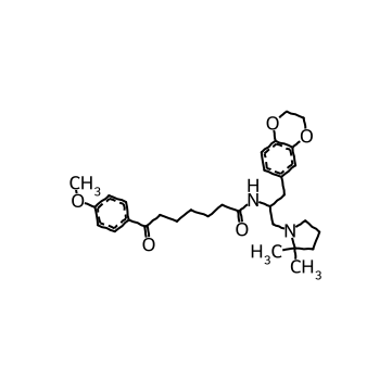 COc1ccc(C(=O)CCCCCC(=O)NC(Cc2ccc3c(c2)OCCO3)CN2CCCC2(C)C)cc1